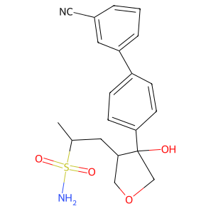 CC(CC1COCC1(O)c1ccc(-c2cccc(C#N)c2)cc1)S(N)(=O)=O